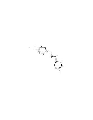 CC(=O)Nc1ccc(NC(=O)C(Cl)c2ccc(C(F)(F)F)cc2)cc1